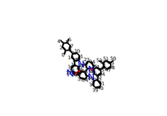 CC1=CC(C)C(C)C=C1c1ccc2c(c1)c1ccccc1n2-c1cccnc1-c1cc(C#N)ccc1-n1c2ccccc2c2cc(-c3ccc(C)cc3C)ccc21